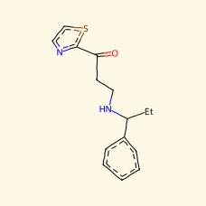 CCC(NCCC(=O)c1nccs1)c1ccccc1